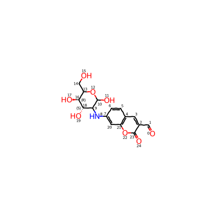 O=Cc1cc2ccc(NC3C(O)OC(CO)[C@H](O)[C@H]3O)cc2oc1=O